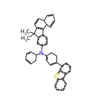 CC1(C)C2=C(c3ccc(N(C4=CC=C(c5cccc6c5sc5ccccc56)CC4)C4C=CC=CC4)cc31)C1C=CC=CC1C=C2